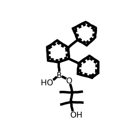 CC(C)(O)C(C)(C)OB(O)c1cccc(-c2ccccc2)c1-c1ccccc1